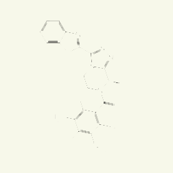 Bc1c(B)c(C(=O)N2CCn3c(-c4nc5ccccc5s4)nnc3[C@H]2C)c(B)c(B)c1F